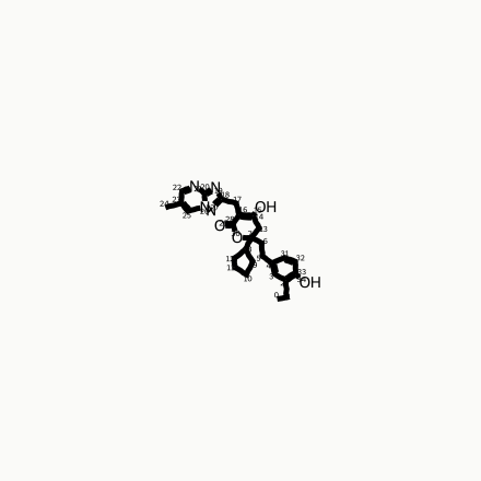 CCc1cc(CCC2(C3CCCC3)CC(O)=C(Cc3nc4ncc(C)cn4n3)C(=O)O2)ccc1O